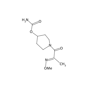 CON=C(C)C(=O)N1CCC(OC(N)=O)CC1